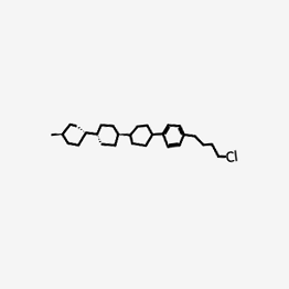 C[C@H]1CC[C@H]([C@H]2CC[C@H](C3CCC(c4ccc(CCCCCl)cc4)CC3)CC2)CC1